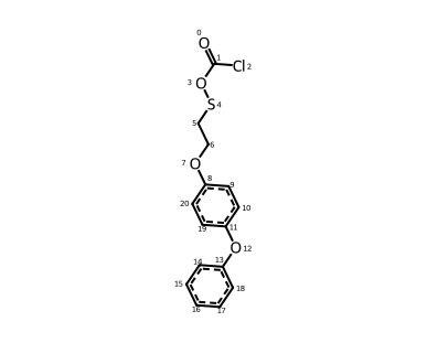 O=C(Cl)OSCCOc1ccc(Oc2ccccc2)cc1